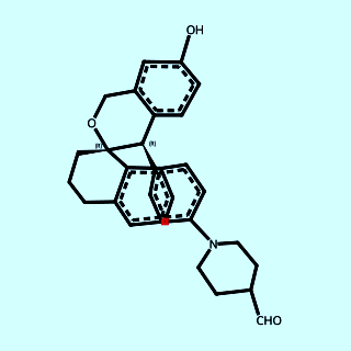 O=CC1CCN(c2ccc([C@@H]3c4ccc(O)cc4CO[C@]34CCCc3ccccc34)cc2)CC1